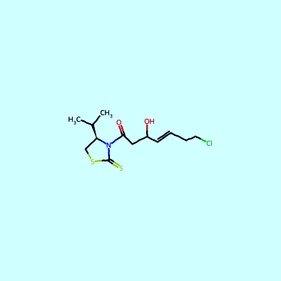 CC(C)[C@@H]1CSC(=S)N1C(=O)CC(O)C=CCCCl